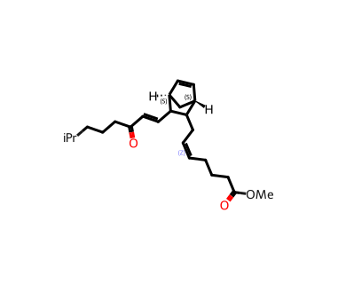 COC(=O)CCC/C=C\CC1C(C=CC(=O)CCCC(C)C)[C@H]2C=C[C@H]1C2